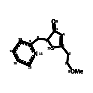 COCCC1=CC(=O)C(Cc2ccccn2)S1